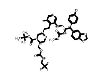 COC(=O)N[C@H](CNc1cncc(F)c1CC[C@@H]1CN(C(=O)OC(C)(C)C)[C@H](COC(=O)NCC(F)(F)F)CO1)[C@@H](c1ccc(Cl)cc1)c1ccc2c(c1)OCO2